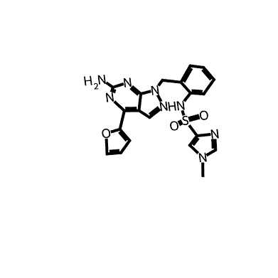 Cn1cnc(S(=O)(=O)Nc2ccccc2Cn2ncc3c(-c4ccco4)nc(N)nc32)c1